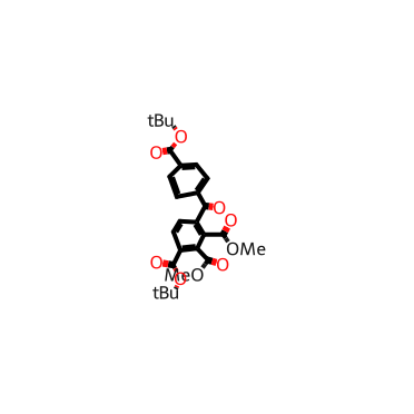 COC(=O)c1c(C(=O)OC(C)(C)C)ccc(C(=O)c2ccc(C(=O)OC(C)(C)C)cc2)c1C(=O)OC